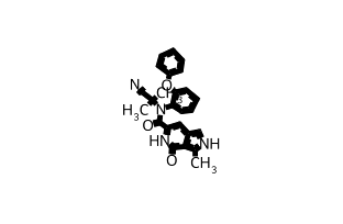 Cc1[nH]cc2cc(C(=O)N(c3ccccc3Oc3ccccc3)C(C)(C)C#N)[nH]c(=O)c12